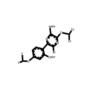 CCC(CC)Oc1nc(Br)c(-c2ccc(OC(F)F)cc2OC)nc1NC